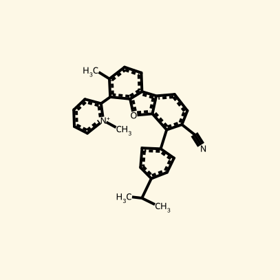 Cc1ccc2c(oc3c(-c4ccc(C(C)C)cc4)c(C#N)ccc32)c1-c1cccc[n+]1C